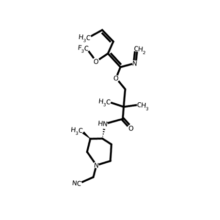 C=N/C(OCC(C)(C)C(=O)N[C@@H]1CCN(CC#N)C[C@H]1C)=C(\C=C/C)OC(F)(F)F